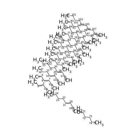 C#CC=CC.C#CC=CCC.C#CC=CCCC.C#CC=CCCCC.C#CC=CCCCCC.C=CCCC.C=CCCCC.C=CCCCCC.C=CCCCCCC.C=CCCCCCCC.CCCCCC.CCCCCCC.CCCCCCCC.CCCCCCCCC.CCCCCCCCCC